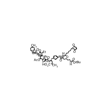 CC[C@H](C)[C@H](NC(=O)[C@H]1C[C@H](C)CCN1C)C(=O)N(CC)[C@H](C[C@@H](OC(C)=O)c1nc(C(=O)N[C@@H](Cc2ccc(NC(=O)[C@H](CCCCNC(=O)OC(C)(C)C)NC(=O)CCCCCN3C(=O)C=CC3=O)cc2)C[C@H](C)C(=O)O)cs1)C(C)C